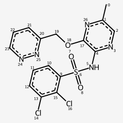 Cc1cnc(NS(=O)(=O)c2cccc(Cl)c2Cl)c(OCc2cccnn2)n1